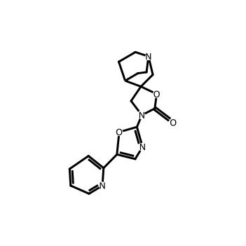 O=C1OC2(CN3CCC2CC3)CN1c1ncc(-c2ccccn2)o1